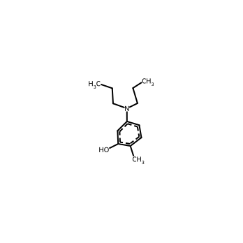 CCCN(CCC)c1ccc(C)c(O)c1